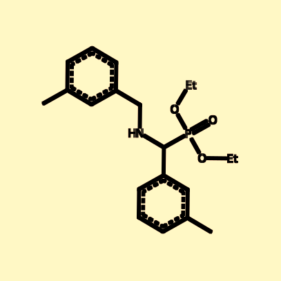 CCOP(=O)(OCC)C(NCc1cccc(C)c1)c1cccc(C)c1